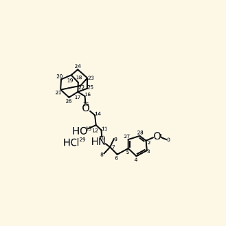 COc1ccc(CC(C)(C)NCC(O)COCC23CC4CC(CC(C4)C2)C3)cc1.Cl